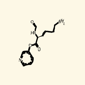 NCCCC[C@H](NC=O)C(=O)Oc1cccnc1